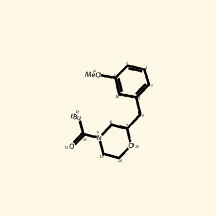 COc1cccc(CC2CN(C(=O)C(C)(C)C)CCO2)c1